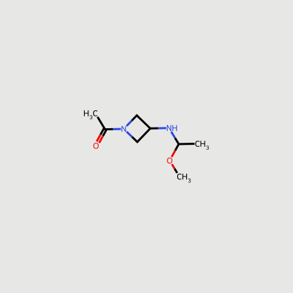 COC(C)NC1CN(C(C)=O)C1